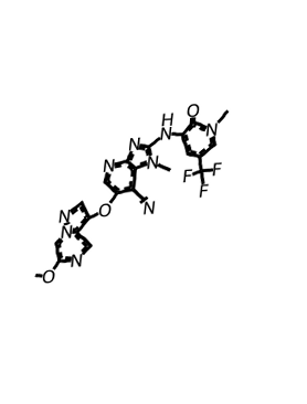 COc1cn2ncc(Oc3cnc4nc(Nc5cc(C(F)(F)F)cn(C)c5=O)n(C)c4c3C#N)c2cn1